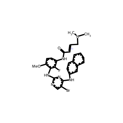 COc1ccc(NC(=O)/C=C/CN(C)C)c(F)c1Nc1ncc(Br)c(Nc2ccc3ccccc3c2)n1